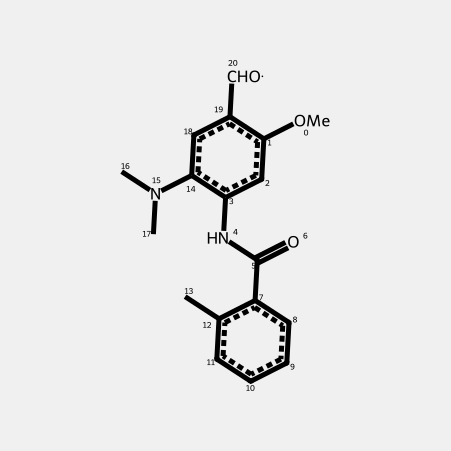 COc1cc(NC(=O)c2ccccc2C)c(N(C)C)cc1[C]=O